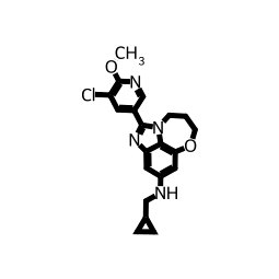 COc1ncc(-c2nc3cc(NCC4CC4)cc4c3n2CCCO4)cc1Cl